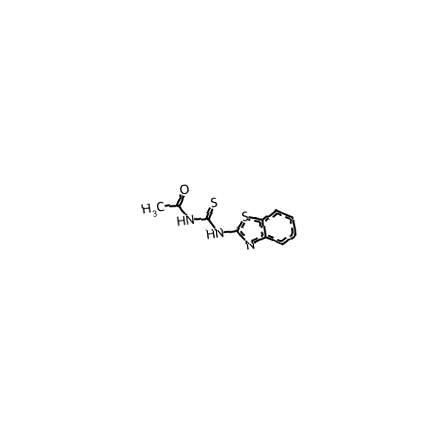 CC(=O)NC(=S)Nc1nc2ccccc2s1